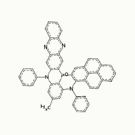 Cc1cc2c3c(c1)N(c1ccccc1)c1c(cc4ccc5cccc6ccc1c4c56)P3(=O)c1cc3nc4ccccc4nc3cc1N2c1ccccc1